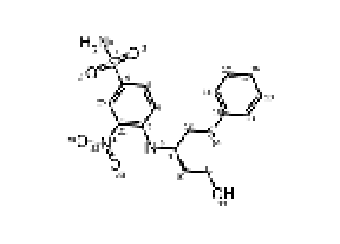 NS(=O)(=O)c1ccc(N[C@H](CCO)CSc2ccccc2)c([N+](=O)[O-])c1